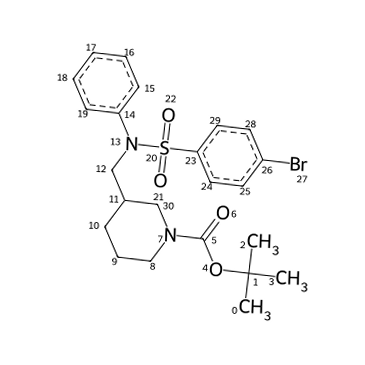 CC(C)(C)OC(=O)N1CCCC(CN(c2ccccc2)S(=O)(=O)c2ccc(Br)cc2)C1